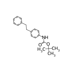 CC(C)(C)OC(=O)Nc1ccc(CCc2ccccc2)cc1